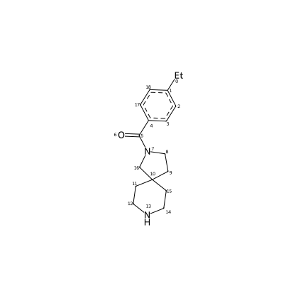 CCc1ccc(C(=O)N2CCC3(CCNCC3)C2)cc1